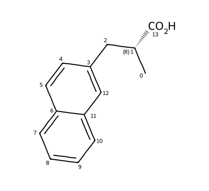 C[C@H](Cc1ccc2ccccc2c1)C(=O)O